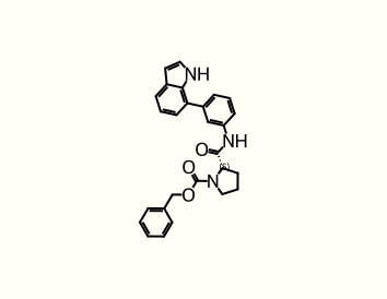 O=C(Nc1cccc(-c2cccc3cc[nH]c23)c1)[C@@H]1CCCN1C(=O)OCc1ccccc1